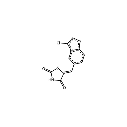 O=C1NC(=O)C(=Cc2ccc3ncc(Cl)n3c2)S1